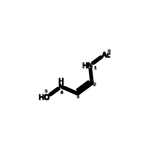 CC(=O)N/C=C\NO